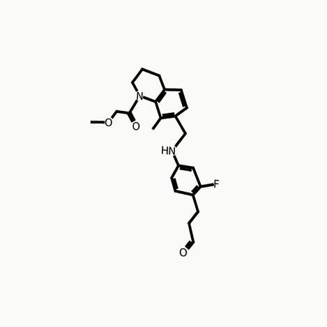 COCC(=O)N1CCCc2ccc(CNc3ccc(CCC=O)c(F)c3)c(C)c21